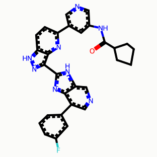 O=C(Nc1cncc(-c2ccc3[nH]nc(-c4nc5c(-c6cccc(F)c6)cncc5[nH]4)c3n2)c1)C1CCCC1